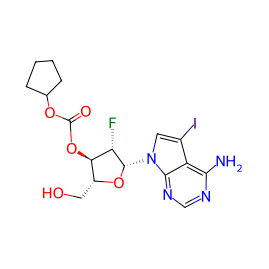 Nc1ncnc2c1c(I)cn2[C@@H]1O[C@H](CO)[C@@H](OC(=O)OC2CCCC2)[C@@H]1F